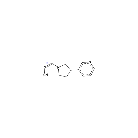 N#C/N=C\N1CCC(c2cccnc2)C1